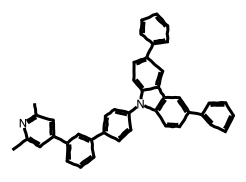 Cc1cc(-c2cccc(-c3ccc(-n4c5ccc(-c6ccccc6)cc5c5cc(-c6ccccc6)ccc54)cc3)c2)cc(C)n1